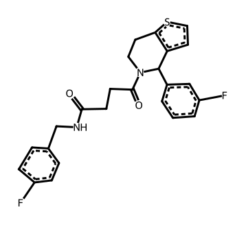 O=C(CCC(=O)N1CCc2sccc2C1c1cccc(F)c1)NCc1ccc(F)cc1